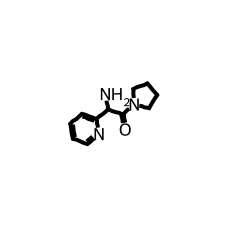 NC(C(=O)N1CCCC1)c1ccccn1